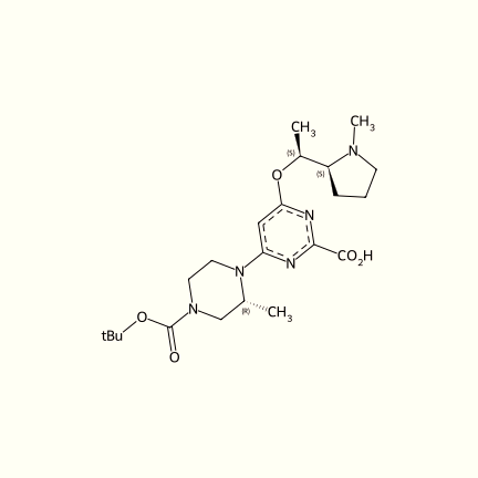 C[C@H](Oc1cc(N2CCN(C(=O)OC(C)(C)C)C[C@H]2C)nc(C(=O)O)n1)[C@@H]1CCCN1C